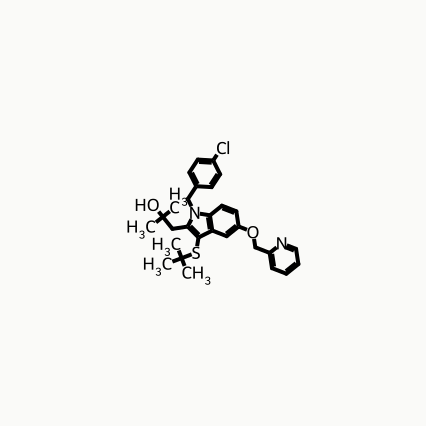 CC(C)(O)Cc1c(SC(C)(C)C)c2cc(OCc3ccccn3)ccc2n1Cc1ccc(Cl)cc1